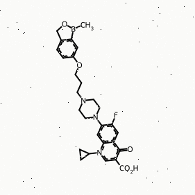 CB1OCc2ccc(OCCCN3CCN(c4cc5c(cc4F)c(=O)c(C(=O)O)cn5C4CC4)CC3)cc21